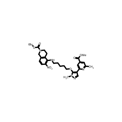 COC(=O)c1cc(C)nc(-c2cnn(C)c2OCCCCCNc2c([N+](=O)[O-])ccc3c2CCN(C(=O)OC(C)(C)C)C3)c1